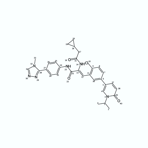 CC(C)n1cc(-c2ccc(Cl)c(/C=C(\NC(=O)CC3CC3)C(=O)Nc3ccc(-c4nncn4C)cc3)c2)ccc1=O